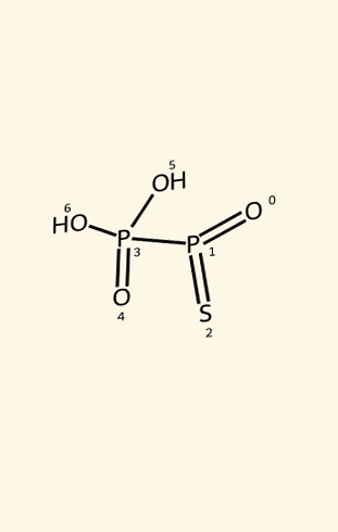 O=P(=S)P(=O)(O)O